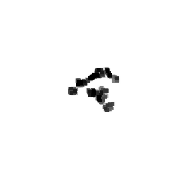 [CH3][Zn+].[Cl-].[Cl-].[Cl-].[Mg+2]